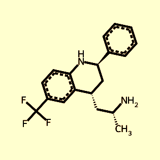 C[C@@H](N)C[C@H]1C[C@H](c2ccccc2)Nc2ccc(C(F)(F)F)cc21